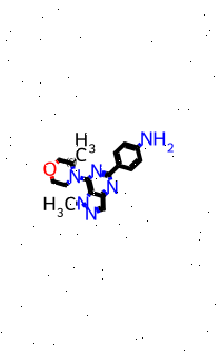 C[C@H]1COCCN1c1nc(-c2ccc(N)cc2)nc2cnn(C)c12